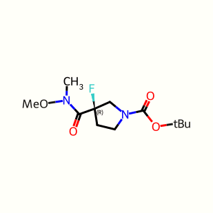 CON(C)C(=O)[C@@]1(F)CCN(C(=O)OC(C)(C)C)C1